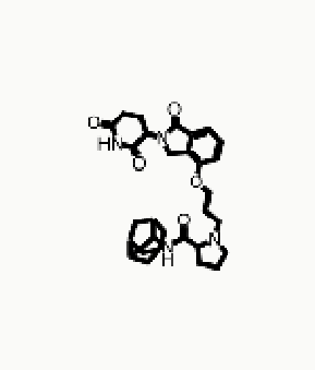 O=C1CCC(N2Cc3c(OCCCN4CCCC4C(=O)NC4C5CC6CC(C5)C4C6)cccc3C2=O)C(=O)N1